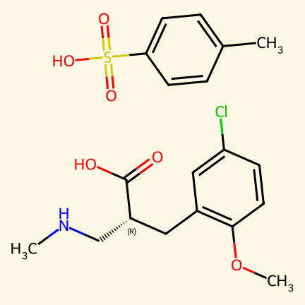 CNC[C@@H](Cc1cc(Cl)ccc1OC)C(=O)O.Cc1ccc(S(=O)(=O)O)cc1